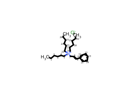 CCCCCC[N+](CC=Cc1ccccc1)(CCCCCC)CCCCCC.[Cl-]